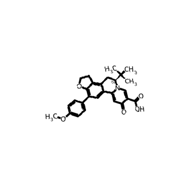 COc1ccc(-c2cc3c(c4c2OCC4)C[C@@H](C(C)(C)C)n2cc(C(=O)O)c(=O)cc2-3)cc1